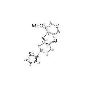 COc1ccccc1/C=C1/CC(c2cccs2)CCC1=O